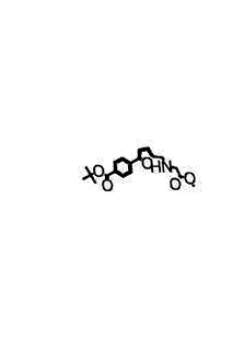 COC(=O)CNCc1ccc(-c2ccc(C(=O)OC(C)(C)C)cc2)o1